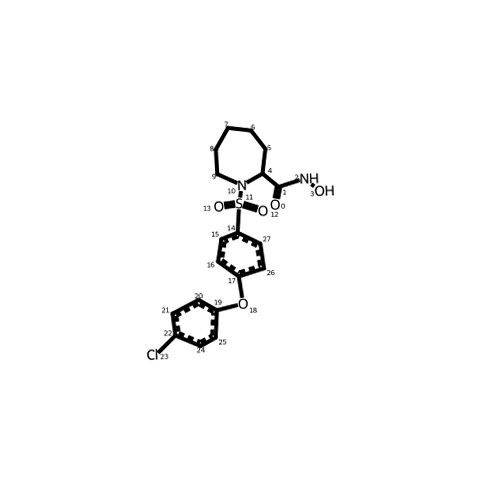 O=C(NO)C1CCCCCN1S(=O)(=O)c1ccc(Oc2ccc(Cl)cc2)cc1